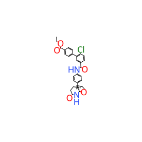 CCOC(=O)c1ccc(-c2cc(C(=O)Nc3ccc([C@@]4(CC)CCC(=O)NC4=O)cc3)ccc2Cl)cc1